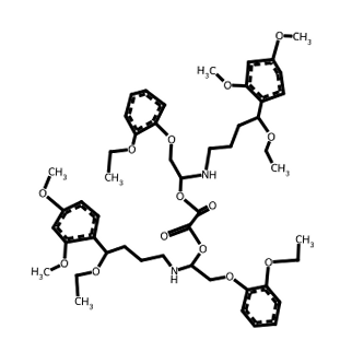 CCOc1ccccc1OCC(NCCCC(OCC)c1ccc(OC)cc1OC)OC(=O)C(=O)OC(COc1ccccc1OCC)NCCCC(OCC)c1ccc(OC)cc1OC